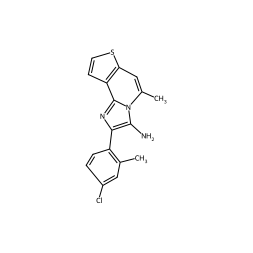 Cc1cc(Cl)ccc1-c1nc2c3ccsc3cc(C)n2c1N